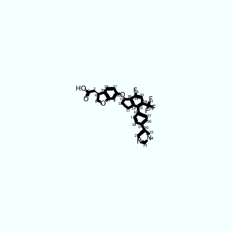 O=C(O)C[C@@H]1COc2cc(O[C@@H]3CCc4c(-c5ccc(-c6cncnc6)cc5)c(C(F)(F)F)cc(F)c43)ccc21